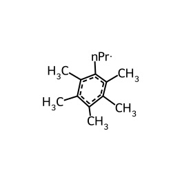 CC[CH]c1c(C)c(C)c(C)c(C)c1C